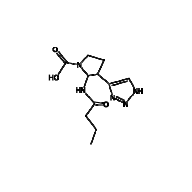 CCCC(=O)NC1C(c2c[nH]nn2)CCN1C(=O)O